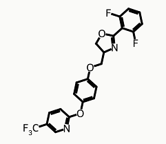 Fc1cccc(F)c1C1=NC(COc2ccc(Oc3ccc(C(F)(F)F)cn3)cc2)CO1